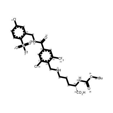 CCS(=O)(=O)c1ccc(Cl)cc1CNC(=O)c1cc(Cl)c(CNCCC[C@H](NC(=O)OC(C)(C)C)C(=O)O)c(C(F)(F)F)c1